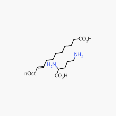 CCCCCCCCC=CCCCCCCCC(=O)O.NCCCC(N)C(=O)O